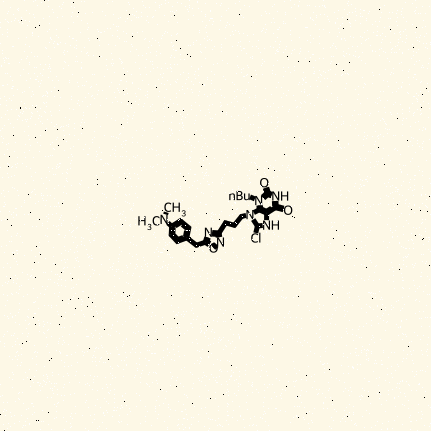 CCCCn1c2c(c(=O)[nH]c1=O)NC(Cl)N2CCCc1noc(Cc2ccc(N(C)C)cc2)n1